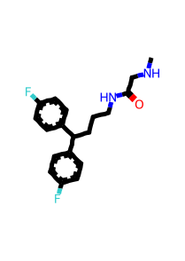 CNCC(=O)NCCCC(c1ccc(F)cc1)c1ccc(F)cc1